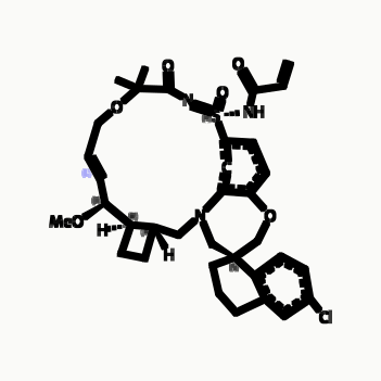 C=CC(=O)N[S@@]1(=O)=NC(=O)C(C)(C)OC/C=C/[C@H](OC)[C@@H]2CC[C@H]2CN2C[C@@]3(CCCc4cc(Cl)ccc43)COc3ccc1cc32